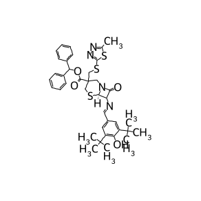 Cc1nnc(SCC2(C(=O)OC(c3ccccc3)c3ccccc3)CS[C@@H]3C(N=Cc4cc(C(C)(C)C)c(O)c(C(C)(C)C)c4)C(=O)N3C2)s1